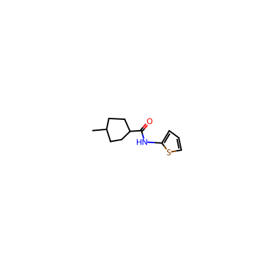 CC1CCC(C(=O)Nc2cccs2)CC1